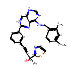 COc1ccc(CNc2ncnc3cnc(-c4cccc(C#C[C@@](C)(O)c5nccs5)c4)nc23)c(OC)c1